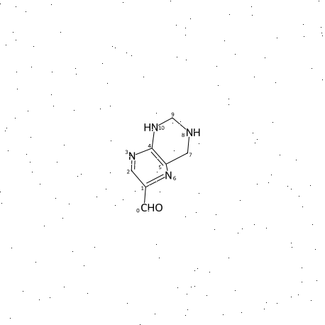 O=Cc1cnc2c(n1)CNCN2